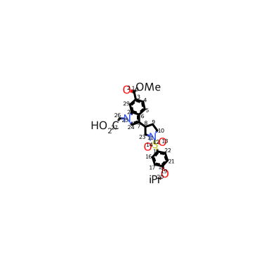 COC(=O)c1ccc2c(C3CCN(S(=O)(=O)c4ccc(OC(C)C)cc4)C3)cn(CC(=O)O)c2c1